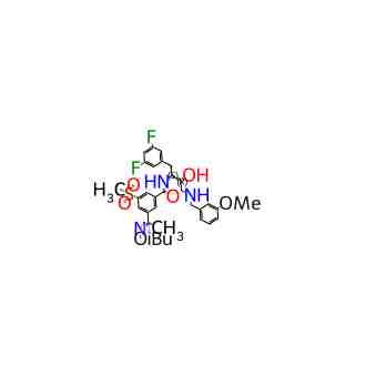 COc1cccc(CNC[C@@H](O)[C@H](Cc2cc(F)cc(F)c2)NC(=O)c2cc(/C(C)=N/OCC(C)C)cc(S(C)(=O)=O)c2)c1